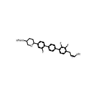 CCC/C=C\Cc1ccc(-c2ccc(-c3ccc(C4CCC(CCCCC)CO4)cc3F)cc2)c(F)c1F